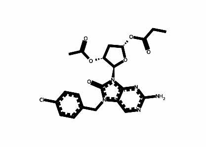 CCC(=O)O[C@H]1C[C@@H](OC(C)=O)[C@H](n2c(=O)n(Cc3ccc(Cl)cc3)c3cnc(N)nc32)O1